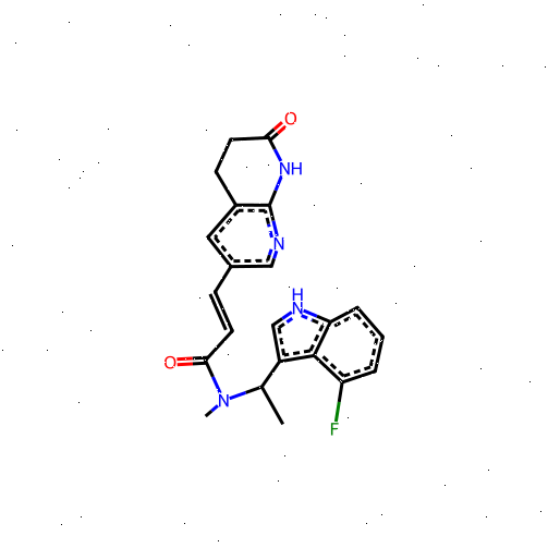 CC(c1c[nH]c2cccc(F)c12)N(C)C(=O)/C=C/c1cnc2c(c1)CCC(=O)N2